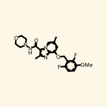 COc1ccc(F)c(COc2cc(C)cn3c(C(=O)NN4CCOCC4)c(C)nc23)c1F